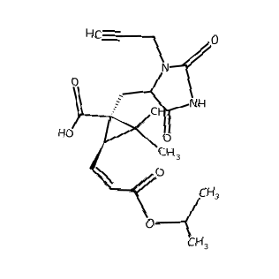 C#CCN1C(=O)NC(=O)C1C[C@@]1(C(=O)O)[C@H](/C=C\C(=O)OC(C)C)C1(C)C